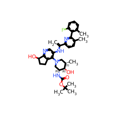 C=C(Nc1cnc2c(c1N1C[C@H](C)[C@@H](O)[C@H](NC(=O)OC(C)(C)C)C1)CCC2O)c1ccc(C)c(-c2c(C)cccc2F)n1